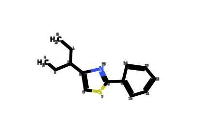 CCC(CC)c1csc(-c2ccccc2)n1